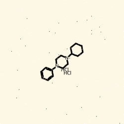 Cl.Cl.c1ccc(N2CCN(C3CCCCC3)CC2)cc1